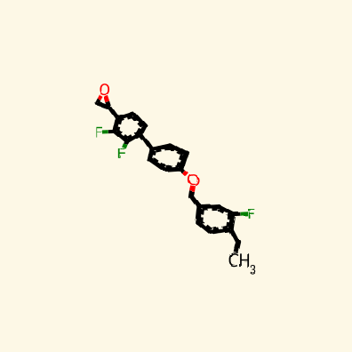 CCc1ccc(COc2ccc(-c3ccc(C4CO4)c(F)c3F)cc2)cc1F